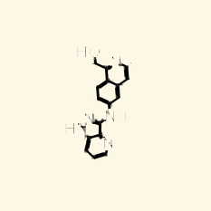 OCc1nccc2cc(Nc3n[nH]c4cccnc34)ccc12